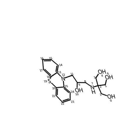 OCC(CO)(CO)NCC(O)CN1c2ccccc2Sc2ccccc21